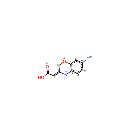 O=C(O)C=C1COc2cc(F)ccc2N1